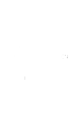 N#Cc1ccc(I)c(C2CC2)c1